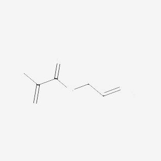 C=CCOC(=O)C(=C)C.[C]